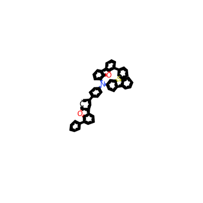 c1ccc(-c2cccc3c2oc2ccc(-c4ccc(N(c5ccc6c(c5)sc5ccccc56)c5cccc6c5oc5c(-c7ccccc7)cccc56)cc4)cc23)cc1